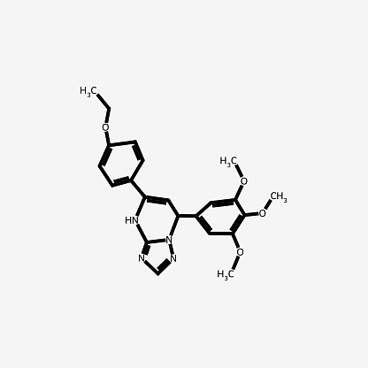 CCOc1ccc(C2=CC(c3cc(OC)c(OC)c(OC)c3)n3ncnc3N2)cc1